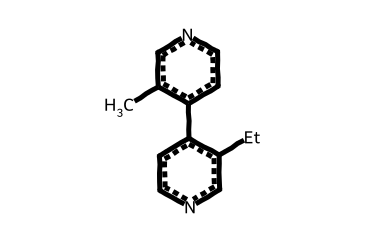 CCc1cnccc1-c1ccncc1C